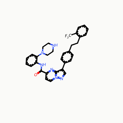 O=C(Nc1ccccc1N1CCNCC1)c1ccn2ncc(-c3ccc(CCc4ccccc4C(F)(F)F)cc3)c2n1